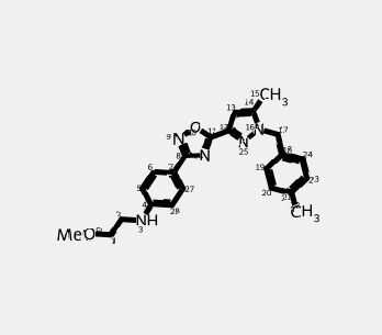 COCCNc1ccc(-c2noc(-c3cc(C)n(Cc4ccc(C)cc4)n3)n2)cc1